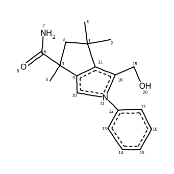 CC1(C)CC(C)(C(N)=O)c2cn(-c3ccccc3)c(CO)c21